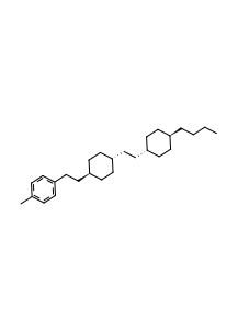 CCCC[C@H]1CC[C@H](CC[C@H]2CC[C@H](CCc3ccc(C)cc3)CC2)CC1